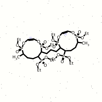 CCOP1(=O)O/C=C\OP(=O)(OCC)C(CCCC2C(P(=O)(OCC)OCC)CCC(C)P(=O)(OCC)O/C=C\OP2(=O)OCC)C(P(=O)(OCC)OCC)CCC1C